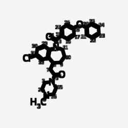 CN1CCN(C(=O)CC2CCCN(C(=O)c3ccc(Oc4ccccc4)cc3)c3ccc(Cl)cc32)CC1